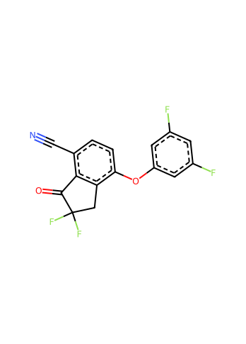 N#Cc1ccc(Oc2cc(F)cc(F)c2)c2c1C(=O)C(F)(F)C2